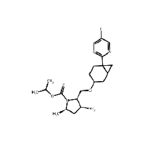 CC(C)OC(=O)N1[C@H](C)C[C@H](N)[C@@H]1COC1CCC2(c3ncc(F)cn3)CC2C1